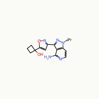 CC(C)n1nc(-c2cc(C3(O)CCC3)on2)c2c(N)nccc21